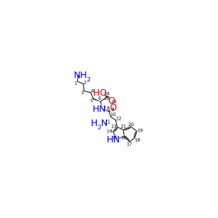 NCCCCC[C@H](NC(=O)[C@@H](N)Cc1c[nH]c2ccccc12)C(=O)O